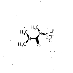 CN(C)C(=O)N(C)C.[Cl-].[Li+]